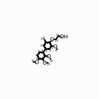 COc1cc(-c2ccc(OC)c(OC)c2OC)cc(I)c1OCCO